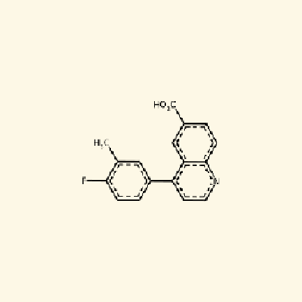 Cc1cc(-c2ccnc3ccc(C(=O)O)cc23)ccc1F